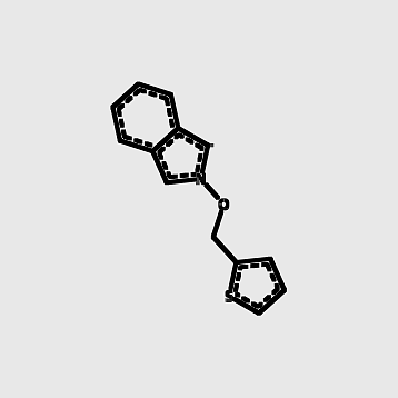 [c]1c2ccccc2cn1OCc1cccs1